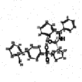 O=C(N[C@H](c1ccccc1)c1ccccn1)[C@@H]1SCCN1S(=O)(=O)c1ccc(-c2ccccc2F)cc1